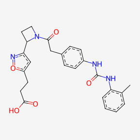 Cc1ccccc1NC(=O)Nc1ccc(CC(=O)N2CCC2c2cc(CCC(=O)O)on2)cc1